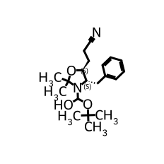 CC(C)(C)OC(O)N1[C@@H](Cc2ccccc2)[C@H](CCC#N)OC1(C)C